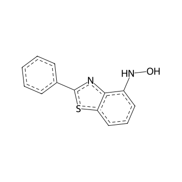 ONc1cccc2sc(-c3ccccc3)nc12